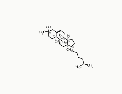 CC(C)CCCC[C@H]1CC[C@H]2[C@@H]3CC=C4C[C@@](C)(O)CC[C@]4(C)[C@H]3CC[C@]12C